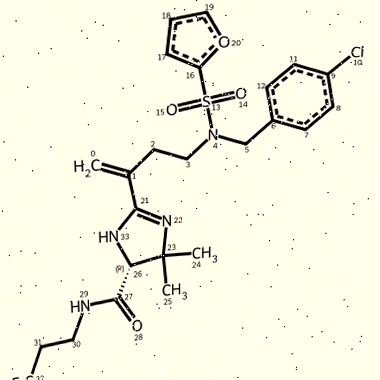 C=C(CCN(Cc1ccc(Cl)cc1)S(=O)(=O)c1ccco1)C1=NC(C)(C)[C@H](C(=O)NCCC(F)(F)F)N1